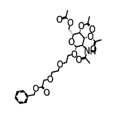 CC(=O)N[C@H]1[C@H](OCCOCCOCC(=O)OCc2ccccc2)O[C@H](COC(C)=O)[C@H](OC(C)=O)[C@@H]1OC(C)=O